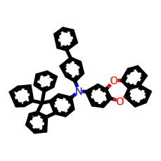 c1ccc(-c2ccc(N(c3ccc4c(c3)Oc3cccc5cccc(c35)O4)c3ccc4c(c3)C(c3ccccc3)(c3ccccc3)c3ccccc3-4)cc2)cc1